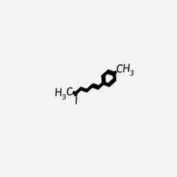 Cc1ccc(C=CCCC(C)I)cc1